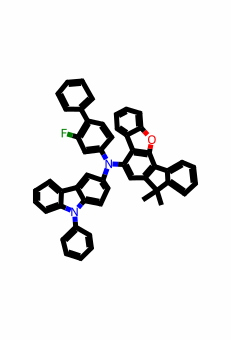 CC1(C)c2ccccc2-c2c1cc(N(c1ccc(-c3ccccc3)c(F)c1)c1ccc3c(c1)c1ccccc1n3-c1ccccc1)c1c2oc2ccccc21